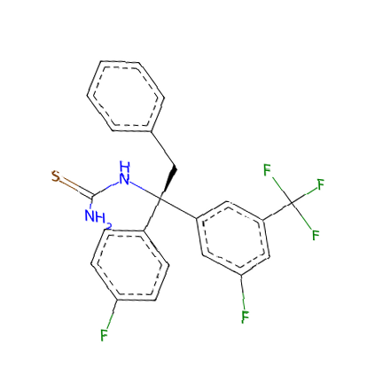 NC(=S)N[C@@](Cc1ccccc1)(c1ccc(F)cc1)c1cc(F)cc(C(F)(F)F)c1